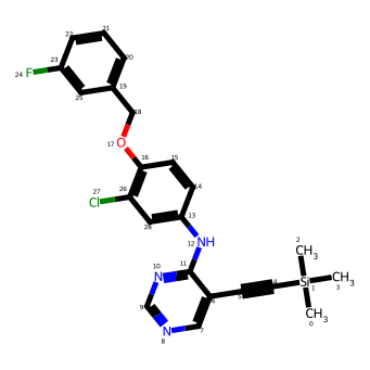 C[Si](C)(C)C#Cc1cncnc1Nc1ccc(OCc2cccc(F)c2)c(Cl)c1